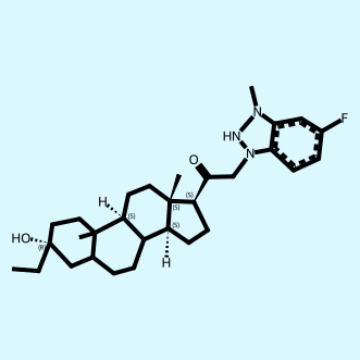 CC[C@@]1(O)CCC2(C)C(CCC3[C@@H]2CC[C@]2(C)[C@@H](C(=O)CN4NN(C)c5cc(F)ccc54)CC[C@@H]32)C1